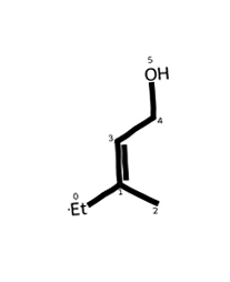 C[CH]C(C)=CCO